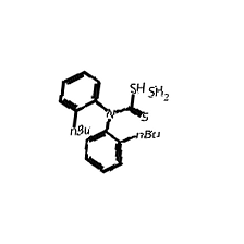 CCCCc1ccccc1N(C(=S)S)c1ccccc1CCCC.S